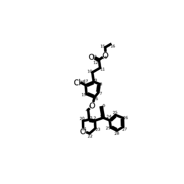 C=C(C1=C(COc2ccc(CCC(=O)OCC)c(Cl)c2)COCC1)c1ccccc1